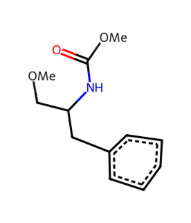 COCC(Cc1ccccc1)NC(=O)OC